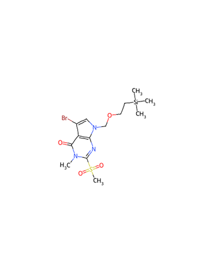 Cn1c(S(C)(=O)=O)nc2c(c(Br)cn2COCC[Si](C)(C)C)c1=O